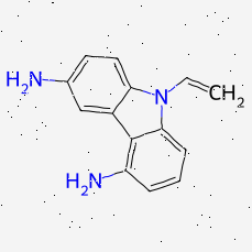 C=Cn1c2ccc(N)cc2c2c(N)cccc21